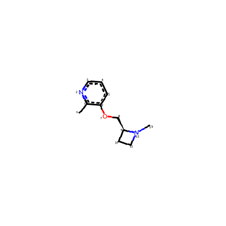 Cc1ncccc1OC[C@@H]1CCN1C